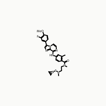 COc1ccc(-c2cnc3c(Nc4ccc(C(=O)N(C)CCN(C)SN5C=C5)c(C)c4)nccn23)cc1F